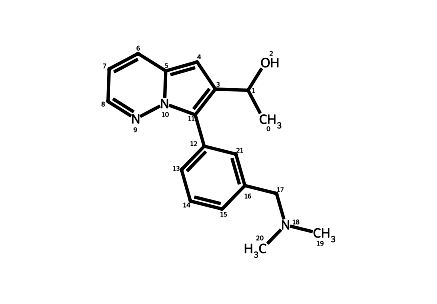 CC(O)c1cc2cccnn2c1-c1cccc(CN(C)C)c1